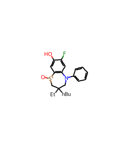 CCCCC1(CC)CN(c2ccccc2)c2cc(F)c(O)cc2[S+]([O-])C1